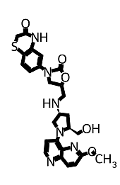 COc1ccc2nccc(N3C[C@H](NCC4CN(c5ccc6c(c5)NC(=O)CS6)C(=O)O4)C[C@H]3CO)c2n1